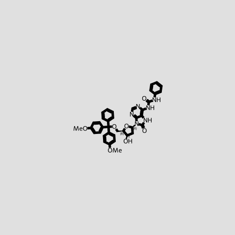 COc1ccc(C(OC[C@H]2O[C@@H](n3c(=O)[nH]c4c(NC(=O)Nc5ccccc5)ncnc43)C[C@H]2O)(c2ccccc2)c2ccc(OC)cc2)cc1